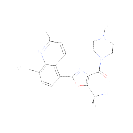 COc1ccc(-c2nc(C(=O)N3CCN(C(=O)O)CC3)c([C@H](C)N)o2)c2ccc(C(F)(F)F)nc12